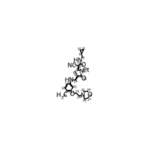 CCn1c(=C(C#N)C(=O)NCC2CC2)sc(=CNc2ccc(C)c(OCCN3CCOCC3)c2)c1=O